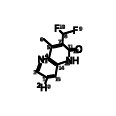 [2H]c1cnc2c(C)c(C(F)F)c(=O)[nH]c2c1